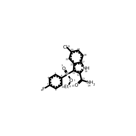 CCOP(=O)(c1ccc(F)cc1)c1c(C(N)=O)[nH]c2ccc(Cl)cc12